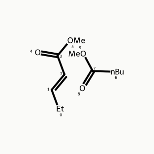 CCC=CC(=O)OC.CCCCC(=O)OC